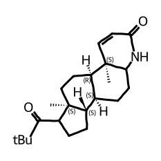 CC(C)(C)C(=O)C1CC[C@H]2[C@@H]3CCC4NC(=O)C=C[C@]4(C)[C@@H]3CC[C@]12C